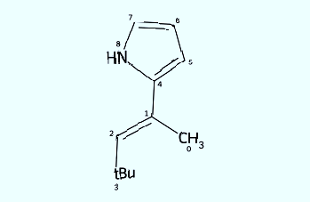 C/C(=C\C(C)(C)C)c1ccc[nH]1